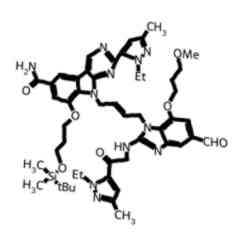 CCn1nc(C)cc1C(=O)CNc1nc2cc(C=O)cc(OCCCOC)c2n1C/C=C/Cn1c2nc(-c3cc(C)nn3CC)ncc2c2cc(C(N)=O)cc(OCCCO[Si](C)(C)C(C)(C)C)c21